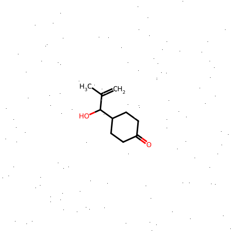 C=C(C)C(O)C1CCC(=O)CC1